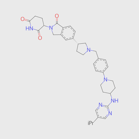 CC(C)c1cnc(NC2CCN(c3ccc(CN4CC[C@H](c5ccc6c(c5)CN(C5CCC(=O)NC5=O)C6=O)C4)cc3)CC2)nc1